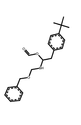 CC(C)(C)c1ccc(CC(BCOCc2ccccc2)OC=O)cc1